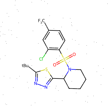 CC(C)(C)c1nnc(C2CCCCN2S(=O)(=O)c2ccc(C(F)(F)F)cc2Cl)s1